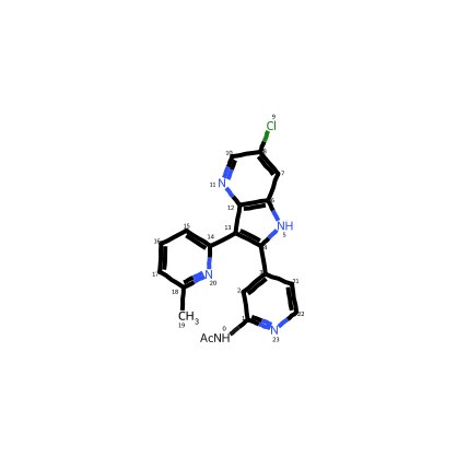 CC(=O)Nc1cc(-c2[nH]c3cc(Cl)cnc3c2-c2cccc(C)n2)ccn1